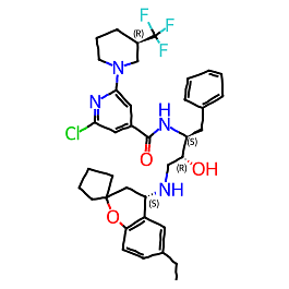 CCc1ccc2c(c1)[C@@H](NC[C@@H](O)[C@H](Cc1ccccc1)NC(=O)c1cc(Cl)nc(N3CCC[C@@H](C(F)(F)F)C3)c1)CC1(CCCC1)O2